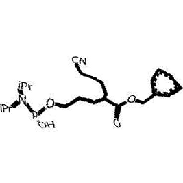 CC(C)N(C(C)C)P(O)OCCCC(CCC#N)C(=O)OCc1ccccc1